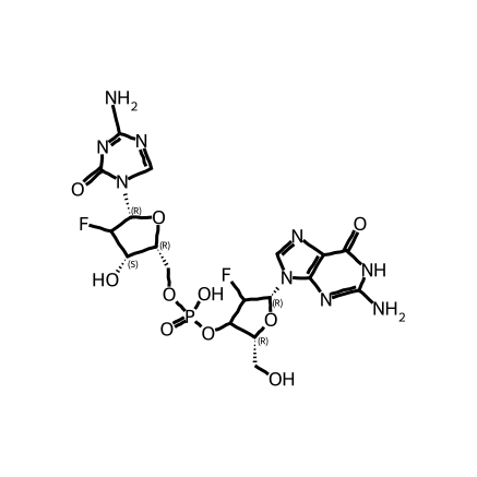 Nc1ncn([C@@H]2O[C@H](COP(=O)(O)OC3C(F)[C@H](n4cnc5c(=O)[nH]c(N)nc54)O[C@@H]3CO)[C@H](O)C2F)c(=O)n1